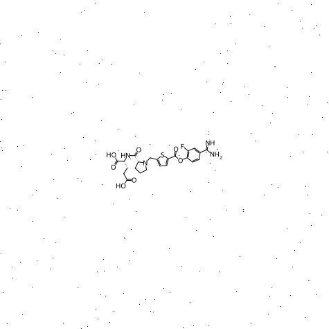 N=C(N)c1ccc(OC(=O)c2ccc(CN3CCC[C@@H]3C(=O)N[C@H](CCC(=O)O)C(=O)O)s2)c(F)c1